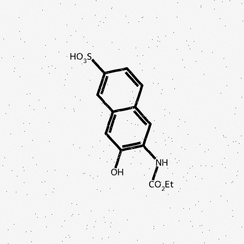 CCOC(=O)Nc1cc2ccc(S(=O)(=O)O)cc2cc1O